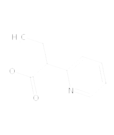 CCC(C([O])=O)c1ccccn1